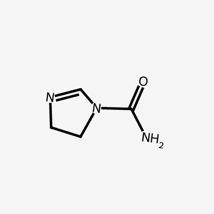 NC(=O)N1C=NCC1